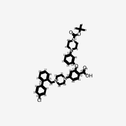 CC(C)(C)OC(=O)N1CCN(c2cccc(Oc3cc(N4CCN(Cc5ccccc5-c5ccc(Cl)cc5)CC4)ccc3C(=O)O)c2)CC1